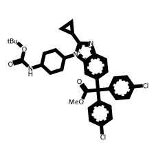 COC(=O)C(c1ccc(Cl)cc1)(c1ccc(Cl)cc1)c1ccc2nc(C3CC3)n(C3CCC(NC(=O)OC(C)(C)C)CC3)c2c1